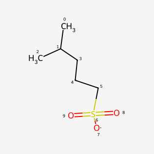 CC(C)CCCS([O])(=O)=O